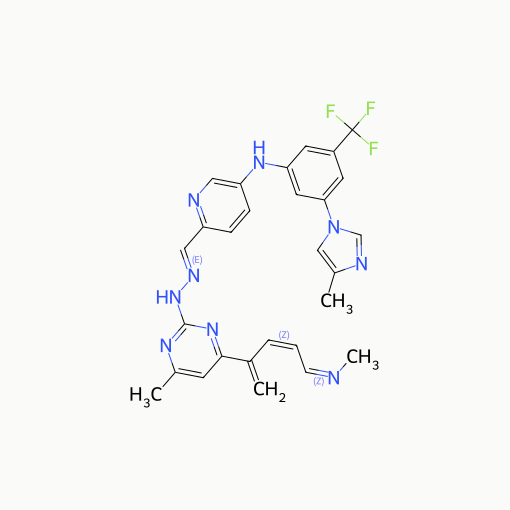 C=C(/C=C\C=N/C)c1cc(C)nc(N/N=C/c2ccc(Nc3cc(-n4cnc(C)c4)cc(C(F)(F)F)c3)cn2)n1